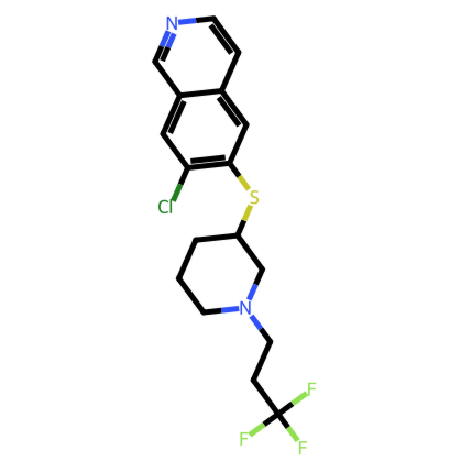 FC(F)(F)CCN1CCCC(Sc2cc3ccncc3cc2Cl)C1